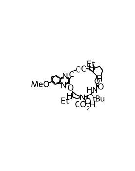 CC[C@H]1CCC[C@H]2OC(=O)N[C@@H](C(C)(C)C)C(=O)N3C[C@H](Oc4nc5cc(OC)ccc5nc4CCCCC[C@H]12)[C@@H](CC)[C@H]3C(=O)O